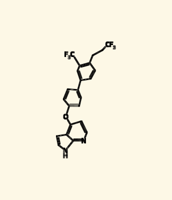 FC(F)(F)CCc1ccc(-c2ccc(Oc3ccnc4[nH]ccc34)cc2)cc1C(F)(F)F